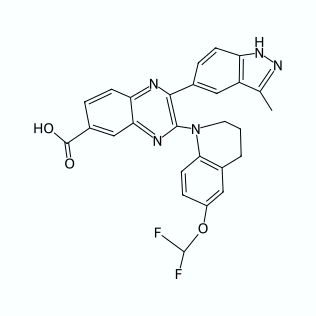 Cc1n[nH]c2ccc(-c3nc4ccc(C(=O)O)cc4nc3N3CCCc4cc(OC(F)F)ccc43)cc12